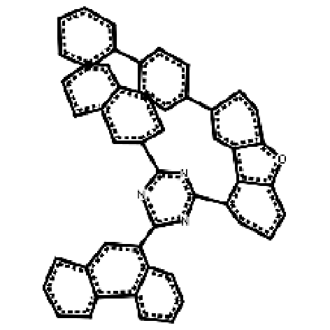 c1ccc(-c2ccc(-c3ccc4oc5cccc(-c6nc(-c7ccc8ccccc8c7)nc(-c7cc8ccccc8c8ccccc78)n6)c5c4c3)cc2)cc1